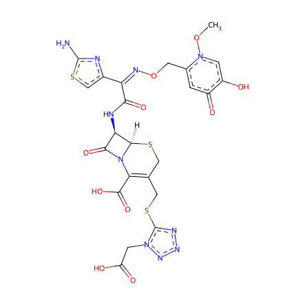 COn1cc(O)c(=O)cc1CO/N=C(\C(=O)N[C@@H]1C(=O)N2C(C(=O)O)=C(CSc3nnnn3CC(=O)O)CS[C@H]12)c1csc(N)n1